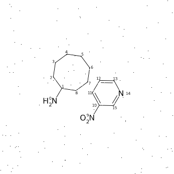 NC1CCCCCCC1.O=[N+]([O-])c1cccnc1